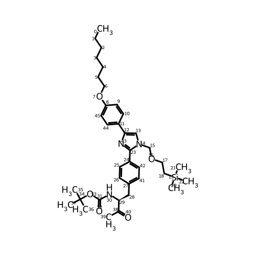 CCCCCCCOc1ccc(-c2cn(COCC[Si](C)(C)C)c(-c3ccc(C[C@H](NC(=O)OC(C)(C)C)C(C)=O)cc3)n2)cc1